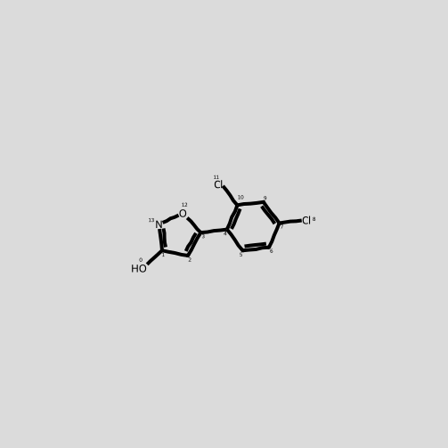 Oc1cc(-c2ccc(Cl)cc2Cl)on1